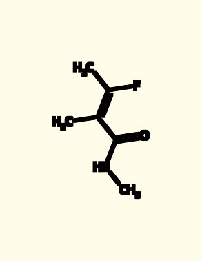 CNC(=O)/C(C)=C(/C)F